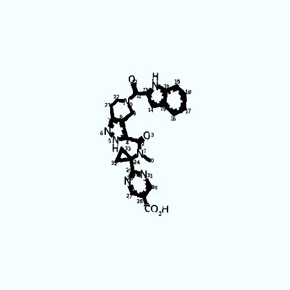 CN(C(=O)c1[nH]nc2c1CN(C(=O)c1cc3ccccc3[nH]1)CC2)C1(c2ncc(C(=O)O)cn2)CC1